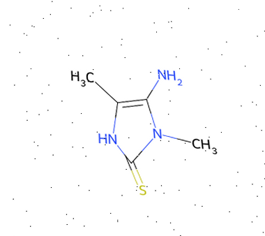 Cc1[nH]c(=S)n(C)c1N